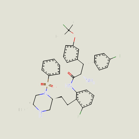 C[C@@H]1CN(S(=O)(=O)c2ccccc2)[C@@H](CCc2c(F)cccc2NC(=O)[C@@H](N)[C@@H](c2ccc(Cl)cc2)c2cccc(OC(C)(C)F)c2)CN1